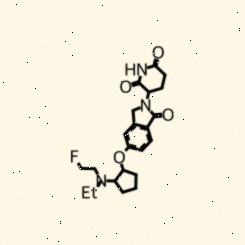 CCN(CCF)C1CCCC1Oc1ccc2c(c1)CN(C1CCC(=O)NC1=O)C2=O